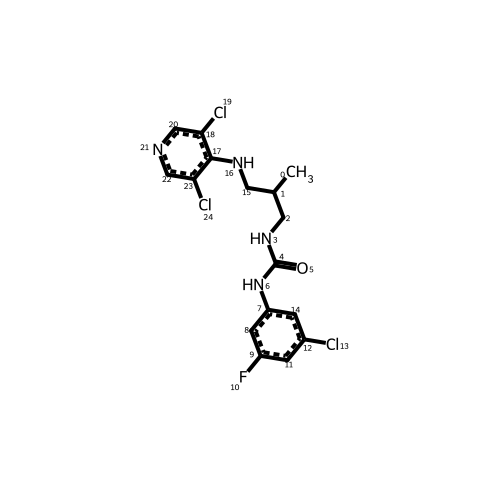 CC(CNC(=O)Nc1cc(F)cc(Cl)c1)CNc1c(Cl)cncc1Cl